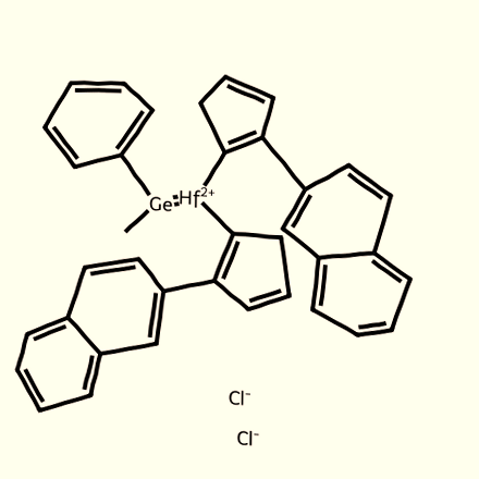 [CH3][Ge]([c]1ccccc1)=[Hf+2]([C]1=C(c2ccc3ccccc3c2)C=CC1)[C]1=C(c2ccc3ccccc3c2)C=CC1.[Cl-].[Cl-]